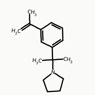 C=C(C)c1cccc(C(C)(C)N2CCCC2)c1